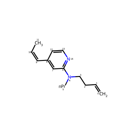 C=CCCN(CCC)c1cc(/C=C\C)ccn1